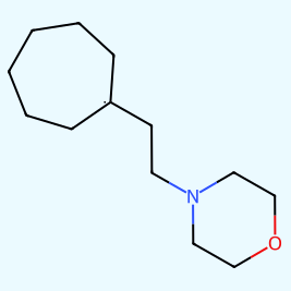 C1CCC[C](CCN2CCOCC2)CC1